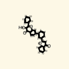 O=c1cc(-c2cccc(-c3ccc4c(=O)c(O)c(-c5ccccc5)oc4c3)c2)oc2ccccc12